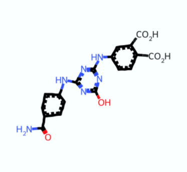 NC(=O)c1ccc(Nc2nc(O)nc(Nc3ccc(C(=O)O)c(C(=O)O)c3)n2)cc1